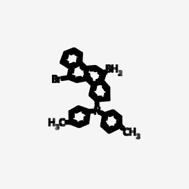 Bc1cc2c3ccccc3c(Br)cc2c2cc(N(c3ccc(C)cc3)c3ccc(C)cc3)ccc12